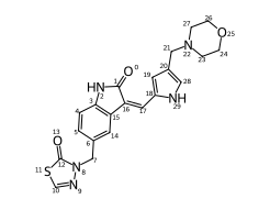 O=C1Nc2ccc(Cn3ncsc3=O)cc2C1=Cc1cc(CN2CCOCC2)c[nH]1